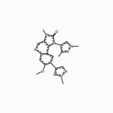 COc1cc2ncc3c(c2cc1-c1cnn(C)n1)n(-c1cn(C)nc1C)c(=O)n3I